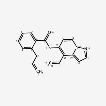 C=CCc1ccccc1C(=O)Nc1ccn2nccc2c1C=C